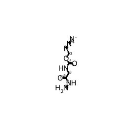 [N-]=[N+]=NCOC(=O)NCC(=O)NN